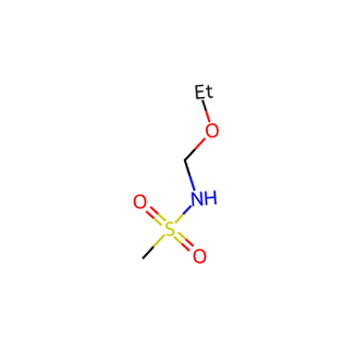 CCOCNS(C)(=O)=O